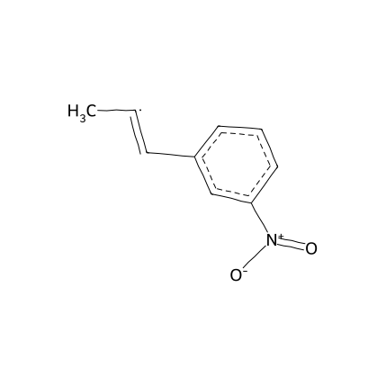 C/[C]=C/c1cccc([N+](=O)[O-])c1